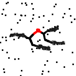 CCCCCCCC(CC(C)CCC)OC(CCCCCCC)CC(C)CCC